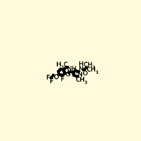 Cc1cc(C(=O)NC(C)c2ccc(OCC(F)F)c(F)c2)cc(NC(=O)C(C)C)n1